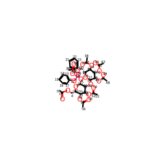 CC(=O)OC[C@@H]1O[C@@H](OP(=O)(Oc2ccccc2)Oc2ccccc2)[C@@H](O[C@H]2O[C@H](COC(C)=O)[C@@H](OC(C)=O)[C@H](OC(C)=O)[C@@H]2OC(C)=O)[C@@H](OC(C)=O)[C@@H]1OC(C)=O